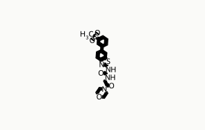 CS(=O)(=O)c1cccc(-c2ccc3nc(NC(=O)NCC(=O)N4CCOCC4)sc3c2)c1